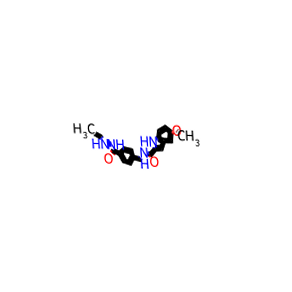 CCCNNC(=O)c1ccc(CNC(=O)c2cc3cc(OC)ccc3[nH]2)cc1